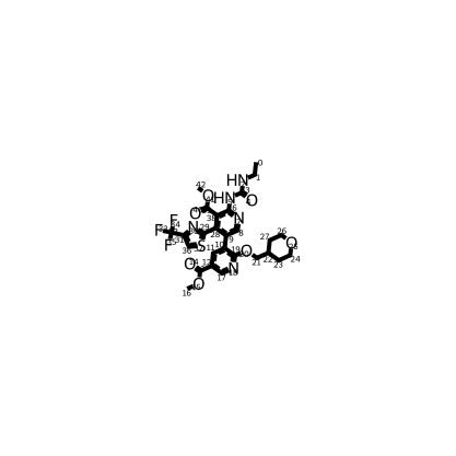 CCNC(=O)Nc1ncc(-c2cc(C(=O)OC)cnc2OCC2CCOCC2)c(-c2nc(C(F)(F)F)cs2)c1C(=O)OC